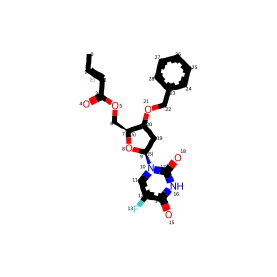 C/C=C/C(=O)OC[C@@H]1O[C@H](n2cc(F)c(=O)[nH]c2=O)CC1OCc1ccccc1